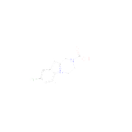 O=C(O)N1CCn2c(cc3cc(Br)ccc32)C1